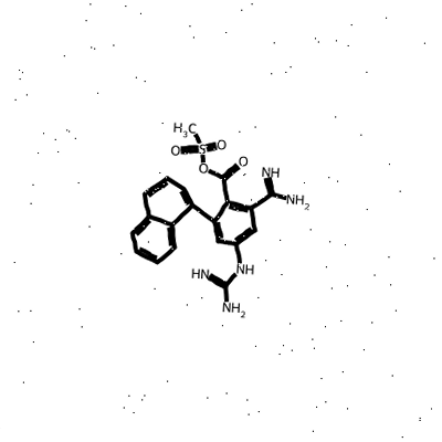 CS(=O)(=O)OC(=O)c1c(C(=N)N)cc(NC(=N)N)cc1-c1cccc2ccccc12